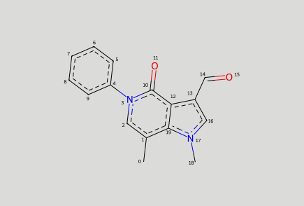 Cc1cn(-c2ccccc2)c(=O)c2c(C=O)cn(C)c12